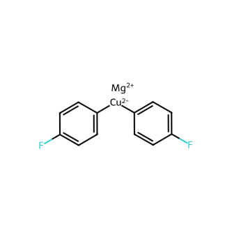 Fc1cc[c]([Cu-2][c]2ccc(F)cc2)cc1.[Mg+2]